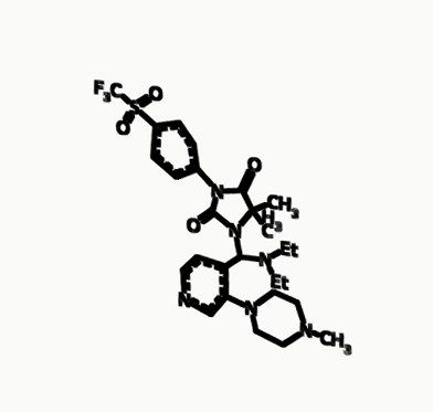 CCN(CC)C(c1ccncc1N1CCN(C)CC1)N1C(=O)N(c2ccc(S(=O)(=O)C(F)(F)F)cc2)C(=O)C1(C)C